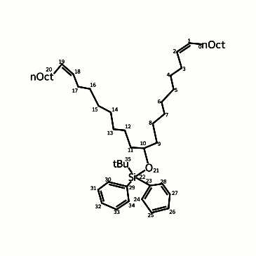 CCCCCCCC/C=C\CCCCCCCC(CCCCCCC/C=C\CCCCCCCC)O[Si](c1ccccc1)(c1ccccc1)C(C)(C)C